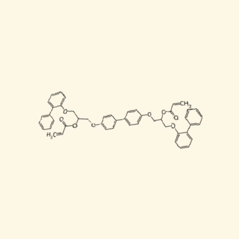 C=CC(=O)OC(COc1ccc(-c2ccc(OCC(COc3ccccc3-c3ccccc3)OC(=O)C=C)cc2)cc1)COc1ccccc1-c1ccccc1